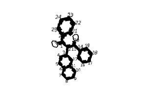 O=c1c(-c2ccc3ccccc3c2)c(-c2ccccc2)oc2ccccc12